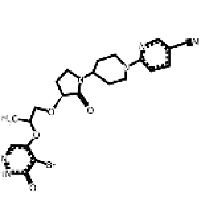 CC(CO[C@H]1CCN(C2CCN(c3ccc(C#N)cn3)CC2)C1=O)Oc1cn[nH]c(=O)c1Br